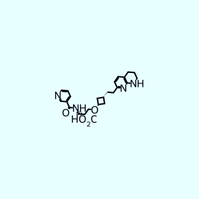 O=C(N[C@H](CCO[C@H]1C[C@@H](CCc2ccc3c(n2)NCCC3)C1)C(=O)O)c1cccnc1